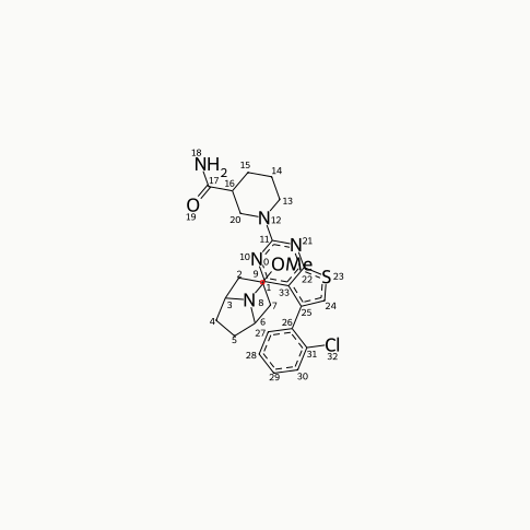 COC1CC2CCC(C1)N2c1nc(N2CCCC(C(N)=O)C2)nc2scc(-c3ccccc3Cl)c12